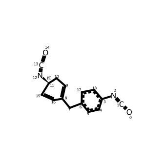 O=C=Nc1ccc(CC2=CC[C@H](N=C=O)C=C2)cc1